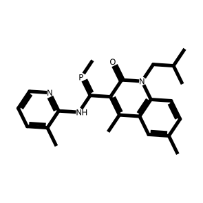 C/P=C(/Nc1ncccc1C)c1c(C)c2cc(C)ccc2n(CC(C)C)c1=O